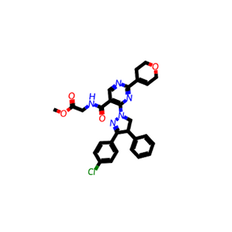 COC(=O)CNC(=O)c1cnc(C2=CCOCC2)nc1N1CC(c2ccccc2)C(c2ccc(Cl)cc2)=N1